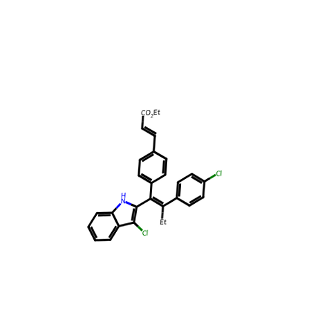 CCOC(=O)/C=C/c1ccc(/C(=C(/CC)c2ccc(Cl)cc2)c2[nH]c3ccccc3c2Cl)cc1